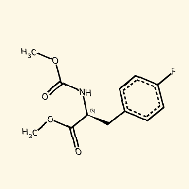 COC(=O)N[C@@H](Cc1ccc(F)cc1)C(=O)OC